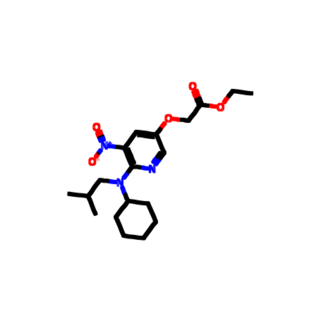 CCOC(=O)COc1cnc(N(CC(C)C)C2CCCCC2)c([N+](=O)[O-])c1